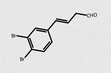 O=CCC=Cc1ccc(Br)c(Br)c1